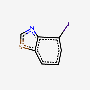 Ic1cccc2scnc12